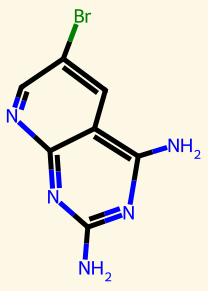 Nc1nc(N)c2cc(Br)cnc2n1